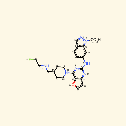 O=C(O)n1ncc2ccc(Nc3nc(N4CCC(CNCCF)CC4)c4occc4n3)cc21